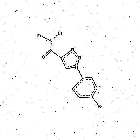 CCN(CC)C(=O)c1cn(-c2ccc(Br)cc2)nn1